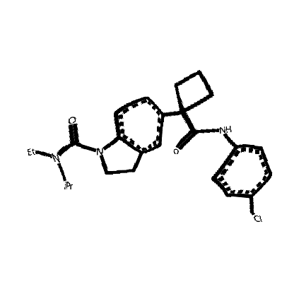 CCN(C(=O)N1CCc2cc(C3(C(=O)Nc4ccc(Cl)cc4)CCC3)ccc21)C(C)C